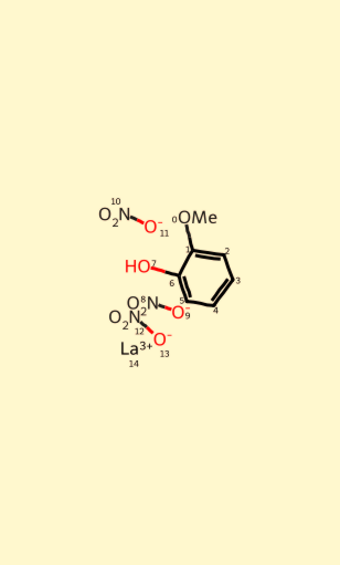 COc1ccccc1O.O=[N+]([O-])[O-].O=[N+]([O-])[O-].O=[N+]([O-])[O-].[La+3]